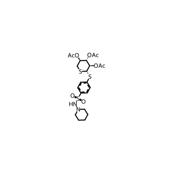 CC(=O)O[C@@H]1[C@@H](OC(C)=O)[C@H](Sc2ccc(S(=O)(=O)NN3CCCCC3)cc2)SC[C@H]1OC(C)=O